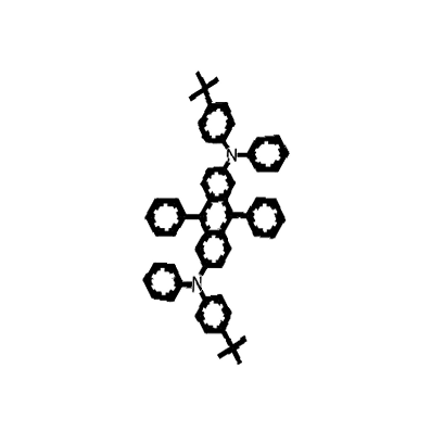 CC(C)(C)c1ccc(N(c2ccccc2)c2ccc3c(-c4ccccc4)c4cc(N(c5ccccc5)c5ccc(C(C)(C)C)cc5)ccc4c(-c4ccccc4)c3c2)cc1